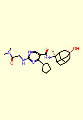 CN(C)C(=O)CNc1ncc(C(=O)N[C@H]2C3CC4CC2C[C@@](O)(C4)C3)c(C2CCCC2)n1